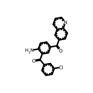 Nc1ccc(C(=O)c2ccc3ncccc3c2)cc1C(=O)c1cccc(Cl)c1